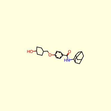 O=C(NC1C2CC3CC(C2)CC1C3)c1ccc(OCC2CCC(O)CC2)cc1